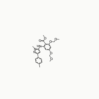 COCOc1cc(Nc2cc(-c3ccc(C)cc3)nn2C)c(C(=O)OC)c(OCOC)c1